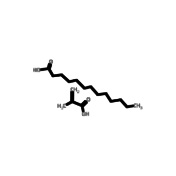 C=C(C)C(=O)O.CCCCCCCCCCCCC(=O)O